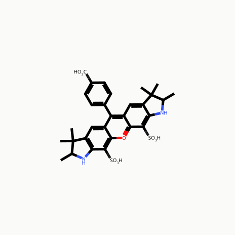 CC1Nc2c(cc3c(-c4ccc(C(=O)O)cc4)c4cc5c(c(S(=O)(=O)O)c4[o+]c3c2S(=O)(=O)O)NC(C)C5(C)C)C1(C)C